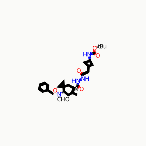 CC1C[C@H](N(C=O)OCc2ccccc2)C2(CC2)C[C@H]1C(=O)NNC(=O)CC1CC(NC(=O)OC(C)(C)C)C1